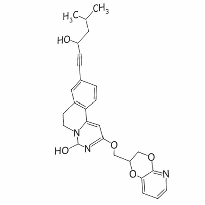 CC(C)CC(O)C#Cc1ccc2c(c1)CCN1C2=CC(OCC2COc3ncccc3O2)=NC1O